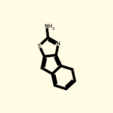 Nc1nc2c(s1)=CC1=CC=CCC=21